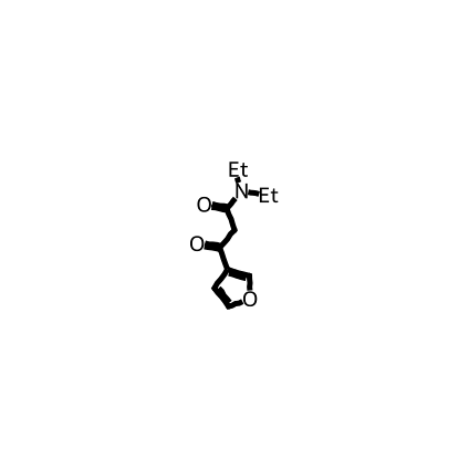 CCN(CC)C(=O)CC(=O)c1ccoc1